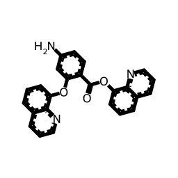 Nc1ccc(C(=O)Oc2cccc3cccnc23)c(Oc2cccc3cccnc23)c1